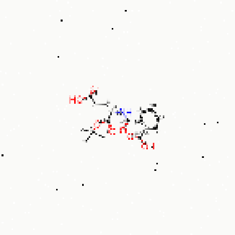 CC(C)(C)OC(=O)[C@H](CCC(=O)O)NC(=O)c1ccccc1C(=O)O